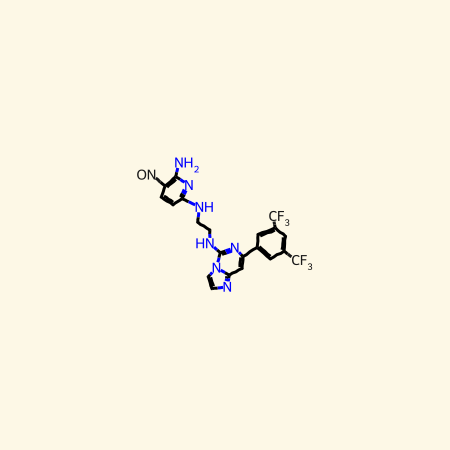 Nc1nc(NCCNc2nc(-c3cc(C(F)(F)F)cc(C(F)(F)F)c3)cc3nccn23)ccc1N=O